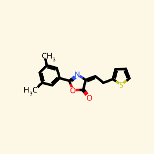 Cc1cc(C)cc(C2=N/C(=C/Cc3cccs3)C(=O)O2)c1